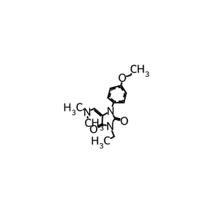 CCOc1ccc(N2C(=O)N(CC)C(=O)C2=CN(C)C)cc1